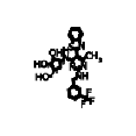 Cc1nc(NCc2cccc(C(F)(F)F)c2)nc(N[C@@H]2C[C@H](CO)[C@@H](O)[C@H]2O)c1-c1nc2ccccc2s1